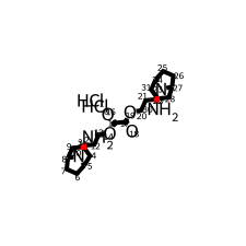 Cl.Cl.NC1CC2CCC(C1)N2CCCOC(=O)C(=O)OCCCN1C2CCC1CC(N)C2